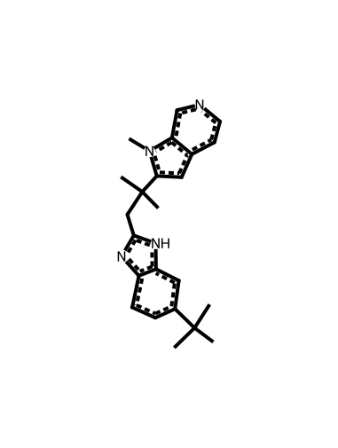 Cn1c(C(C)(C)Cc2nc3ccc(C(C)(C)C)cc3[nH]2)cc2ccncc21